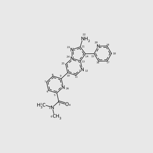 CN(C)C(=O)c1cccc(-c2cnc3c(-c4ccccn4)c(N)nn3c2)n1